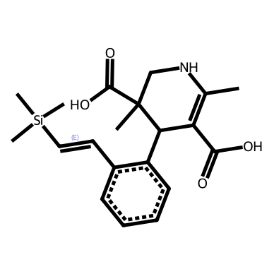 CC1=C(C(=O)O)C(c2ccccc2/C=C/[Si](C)(C)C)C(C)(C(=O)O)CN1